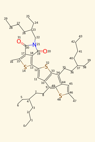 CCCCC(CC)CCc1c2cc(-c3sc(C)c4c3C(=O)N(CC(CC)CCCC)C4=O)sc2c(CCC(CC)CCCC)c2cc(C)sc12